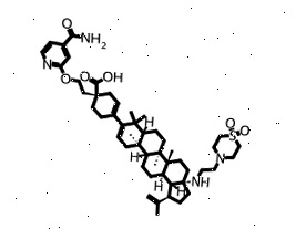 C=C(C)[C@@H]1CC[C@]2(NCCN3CCS(=O)(=O)CC3)CC[C@]3(C)[C@H](CC[C@@H]4[C@@]5(C)CC=C(C6=CC[C@@](CCOc7cc(C(N)=O)ccn7)(C(=O)O)CC6)C(C)(C)[C@@H]5CC[C@]43C)[C@@H]12